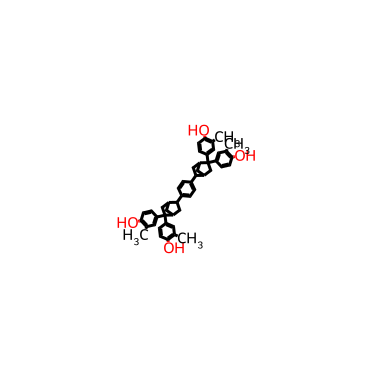 Cc1cc(C2(c3ccc(O)c(C)c3)CC3CC2CC3c2ccc(C3CC4CC3CC4(c3ccc(O)c(C)c3)c3ccc(O)c(C)c3)cc2)ccc1O